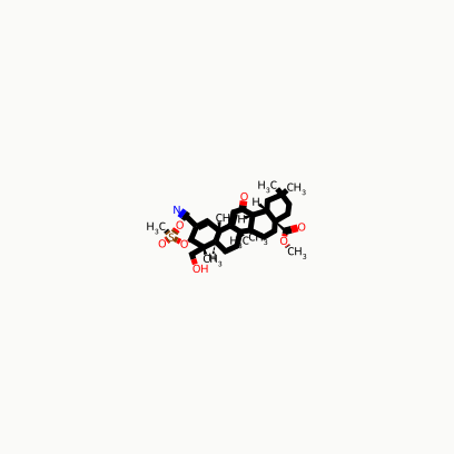 COC(=O)[C@]12CCC(C)(C)C[C@H]1[C@H]1C(=O)C=C3[C@@]4(C)C=C(C#N)[C@H](OS(C)(=O)=O)[C@@](C)(CO)[C@@H]4CC[C@@]3(C)[C@]1(C)CC2